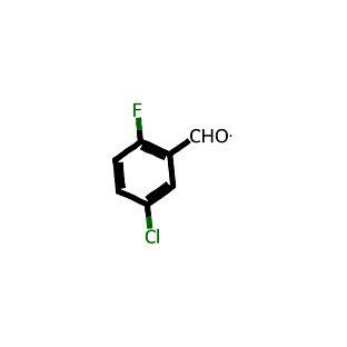 O=[C]c1cc(Cl)ccc1F